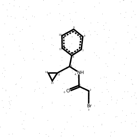 O=C(CBr)NC(c1ccccc1)C1CC1